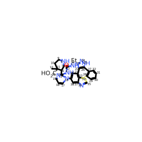 CCNC(=O)NC1(C2CNCCC2(C)C(=O)O)N=CC=CN1c1cc(-c2nn[nH]c2-c2ccccc2)c2scnc2c1